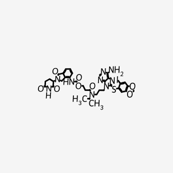 CC(C)N(CCCn1c(Sc2cc3c(cc2I)OCO3)nc2c(N)ncnc21)C(=O)CCOC(=O)Nc1cccc2c1CN(C1CCC(=O)NC1=O)C2=O